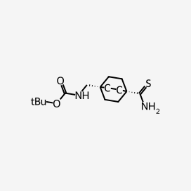 CC(C)(C)OC(=O)NC[C@]12CC[C@](C(N)=S)(CC1)CC2